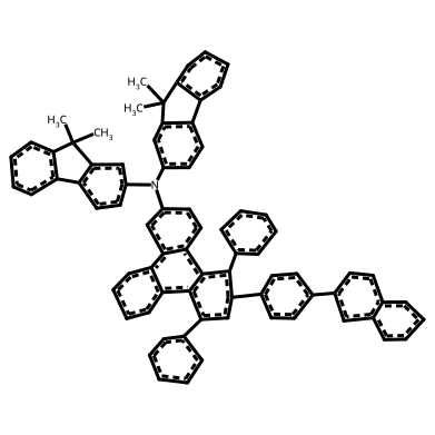 CC1(C)c2ccccc2-c2ccc(N(c3ccc4c(c3)C(C)(C)c3ccccc3-4)c3ccc4c(c3)c3ccccc3c3c(-c5ccccc5)cc(-c5ccc(-c6ccc7ccccc7c6)cc5)c(-c5ccccc5)c43)cc21